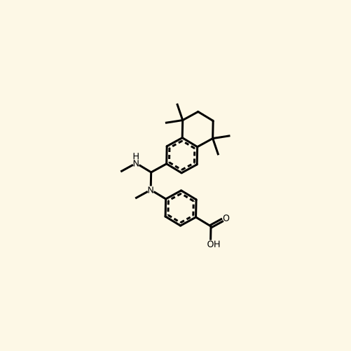 CNC(c1ccc2c(c1)C(C)(C)CCC2(C)C)N(C)c1ccc(C(=O)O)cc1